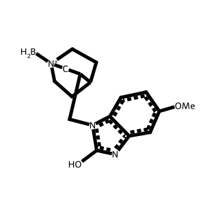 B[N+]12CCC(CC1)C(Cn1c(O)nc3cc(OC)ccc31)C2